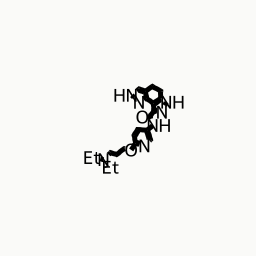 CCN(CC)CCCOc1ccc(NC(=O)c2n[nH]c3c2-c2n[nH]cc2CC3)cn1